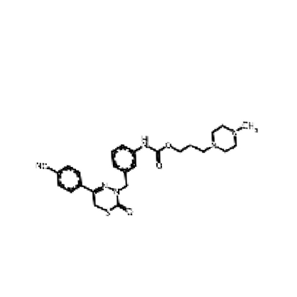 CN1CCN(CCCOC(=O)Nc2cccc(CN3N=C(c4ccc(C#N)cc4)CSC3=O)c2)CC1